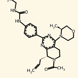 C=CC[C@@H]1c2nc(-c3ccc(NC(=O)NCC)cc3)nc(N3CCOC[C@@H]3C)c2CCN1C(C)=O